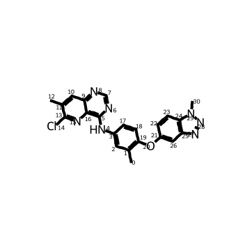 Cc1cc(Nc2ncnc3cc(C)c(Cl)nc23)ccc1Oc1ccc2c(c1)nnn2C